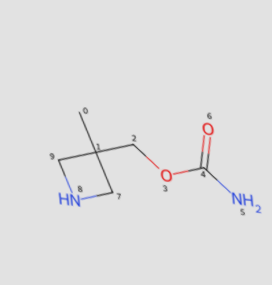 CC1(COC(N)=O)CNC1